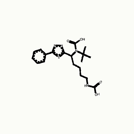 CC(C)(C)N(C(=O)O)C(CCCCNC(=O)O)c1nnc(-c2ccccc2)s1